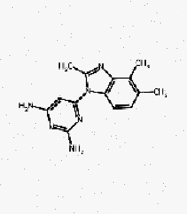 Cc1ccc2c(nc(C)n2-c2cc(N)nc(N)n2)c1C